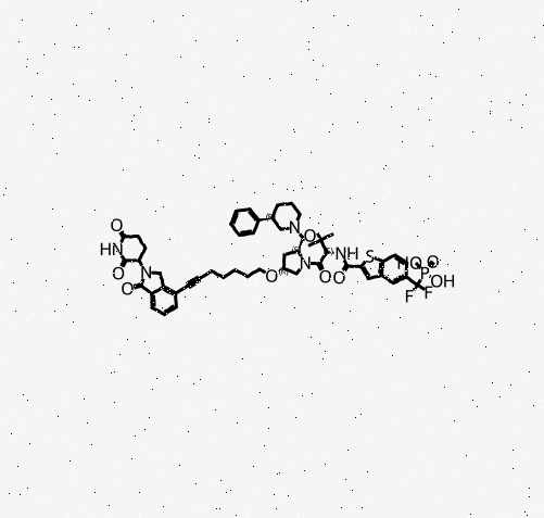 CC(C)(C)[C@H](NC(=O)c1cc2cc(C(F)(F)P(=O)(O)O)ccc2s1)C(=O)N1C[C@H](OCCCCCC#Cc2cccc3c2CN(C2CCC(=O)NC2=O)C3=O)C[C@H]1C(=O)N1CCC[C@H](c2ccccc2)C1